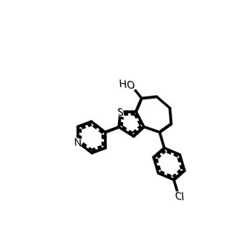 OC1CCCC(c2ccc(Cl)cc2)c2cc(-c3ccncc3)sc21